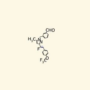 Cc1cc(/C(F)=C/c2ccc(OC(F)(F)F)cc2)nn1Cc1cccc(C=O)c1